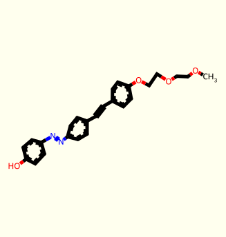 COCCOCCOc1ccc(C#Cc2ccc(/N=N/c3ccc(O)cc3)cc2)cc1